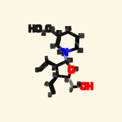 C=C[C@@H]1[C@H](C=C)[C@@H](CO)O[C@H]1N1C=CCC(C(=O)O)=C1